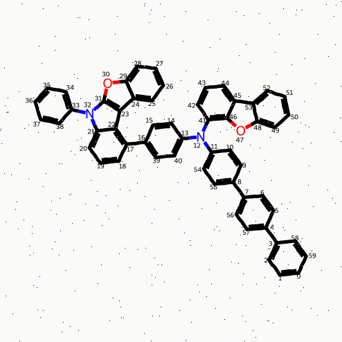 c1ccc(-c2ccc(-c3ccc(N(c4ccc(-c5cccc6c5c5c7ccccc7oc5n6-c5ccccc5)cc4)c4cccc5c4oc4ccccc45)cc3)cc2)cc1